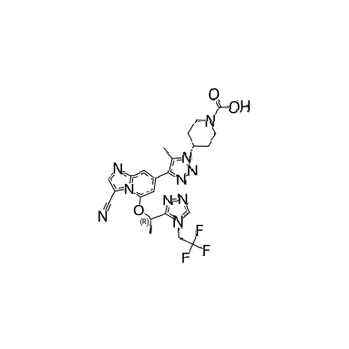 Cc1c(-c2cc(O[C@H](C)c3nncn3CC(F)(F)F)n3c(C#N)cnc3c2)nnn1C1CCN(C(=O)O)CC1